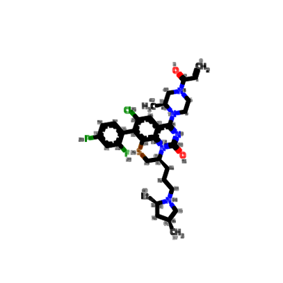 C=CC(=O)N1CCN(c2nc(=O)n3c4c(c(-c5ccc(F)cc5F)c(Cl)cc24)SC[C@@H]3CCCN2C[C@@H](C)C[C@H]2CC)[C@@H](C)C1